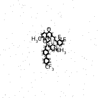 Cc1ccc2c(=O)cc(CCc3cccc(F)c3F)n(CC(=O)N(Cc3ccc(-c4ccc(C(F)(F)F)cc4)cc3)C3CCN(C)CC3)c2n1